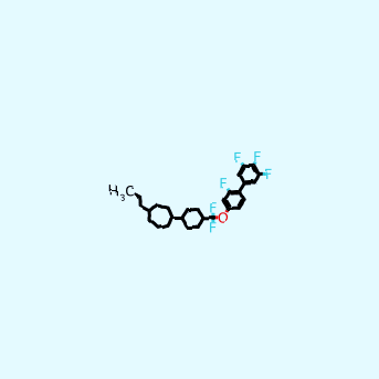 CCCC1CCCC(C2CCC(C(F)(F)Oc3ccc(-c4cc(F)c(F)c(F)c4)c(F)c3)CC2)CC1